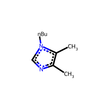 CCCCn1cnc(C)c1C